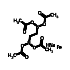 CC(=O)ON(CCN(OC(C)=O)OC(C)=O)OC(C)=O.[Fe].[NaH]